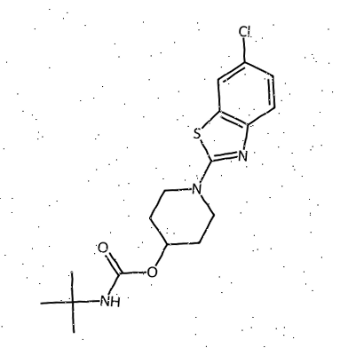 CC(C)(C)NC(=O)OC1CCN(c2nc3ccc(Cl)cc3s2)CC1